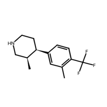 Cc1cc([C@@H]2CCNC[C@@H]2C)ccc1C(F)(F)F